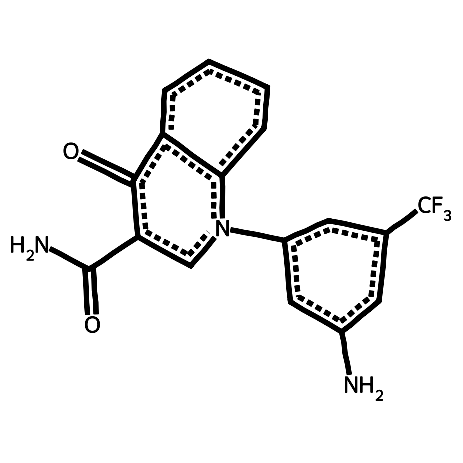 NC(=O)c1cn(-c2cc(N)cc(C(F)(F)F)c2)c2ccccc2c1=O